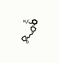 CCc1ccccc1N1CCN(CCCN2CCCCC2=O)CC1